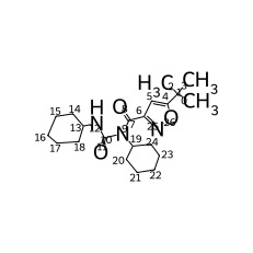 CC(C)(C)c1cc(C(=O)N(C(=O)NC2CCCCC2)C2CCCCC2)no1